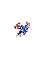 COC(=O)N[C@@H](C)CNc1nccc(-c2[nH]c(C(C)(C)C)nc2-c2cc(Cl)c(C)c(NS(=O)(=O)C3CC3)c2C)n1